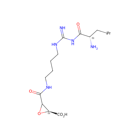 CC(C)C[C@H](N)C(=O)NC(=N)NCCCCNC(=O)C1O[C@@H]1C(=O)O